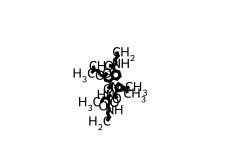 C=CCNC(=O)C(=O)C(CCC)NC(=O)C1C2C(CN1C(=O)C(CC(=O)OCC(C)C)C1CCCC(C(=O)NCC=C)C1)C2(C)C